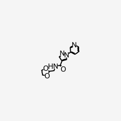 O=C(NCC1OCCO1)c1cnn(-c2cccnc2)c1